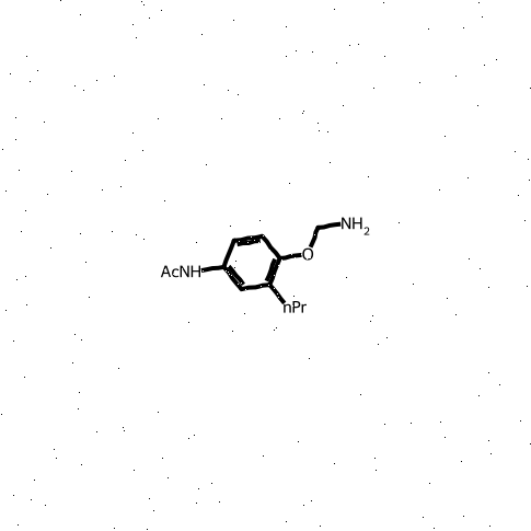 CCCc1cc(NC(C)=O)ccc1OCN